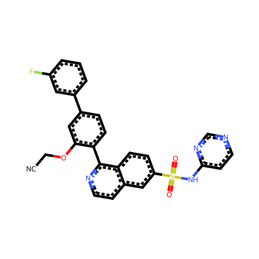 N#CCOc1cc(-c2cccc(F)c2)ccc1-c1nccc2cc(S(=O)(=O)Nc3ccncn3)ccc12